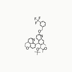 CC(=O)[C@@H](OC(C)(C)C)c1c(C)cc2nc(OCc3cccc(C(F)(F)F)c3)ccc2c1-c1ccc2c3c(ccnc13)CCO2